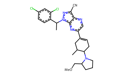 COCC1CCCN1C1CC=C(c2cnc3c(C#N)nn(C(C)c4ccc(Cl)cc4Cl)c3n2)CC1C